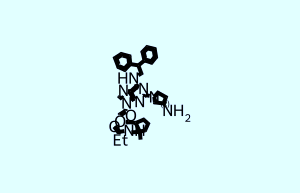 CCC(=O)NC1(C2CCCC2(C)C)OC=C(n2cnc3c(NCC(c4ccccc4)c4ccccc4)nc(N4CC[C@@H](N)C4)nc32)O1